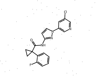 O=C(Nc1ccn(-c2cncc(Cl)c2)n1)C1(c2ccccc2F)CC1